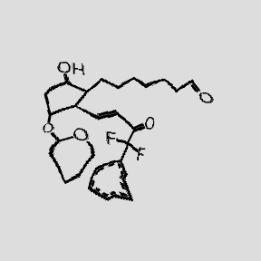 O=CCCCCCCC1C(O)CC(OC2CCCCO2)[C@@H]1/C=C/C(=O)C(F)(F)c1ccccc1